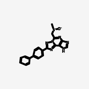 C[S+]([O-])Cc1nc2nc[nH]c2c2nc(-c3ccc(-c4ccccc4)cc3)nn12